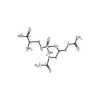 CC(=O)OCC(COC(C)=O)OP(=O)(O)OCC(N)C(=O)O